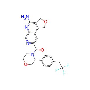 Nc1nc2cnc(C(=O)N3CCOCC3c3ccc(CC(F)(F)F)cc3)cc2c2c1COC2